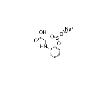 O=C(O)CNc1ccccc1.O=S([O-])[O-].[Na+].[Na+]